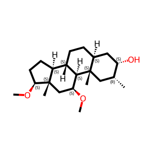 CO[C@H]1C[C@]2(C)[C@@H](OC)CC[C@H]2[C@@H]2CC[C@H]3C[C@H](O)[C@H](C)C[C@]3(C)[C@H]21